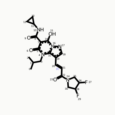 CC(C)Cn1c(=O)c(C(=O)NC2CC2)c(O)n2ncc(/C=C/C(=O)N3CC(F)C(F)C3)c12